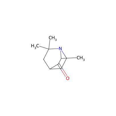 CC1C(=O)C2CCN1C(C)(C)C2